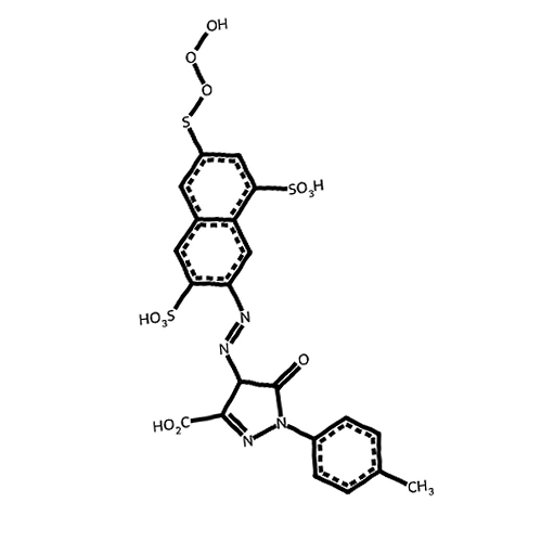 Cc1ccc(N2N=C(C(=O)O)C(N=Nc3cc4c(S(=O)(=O)O)cc(SOOO)cc4cc3S(=O)(=O)O)C2=O)cc1